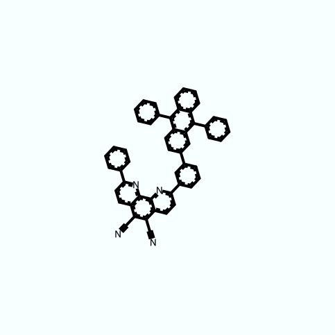 N#Cc1c(C#N)c2ccc(-c3cccc(-c4ccc5c(-c6ccccc6)c6ccccc6c(-c6ccccc6)c5c4)c3)nc2c2nc(-c3ccccc3)ccc12